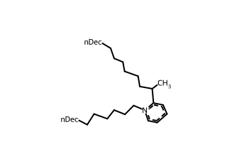 CCCCCCCCCCCCCCCCC(C)c1cccc[n+]1CCCCCCCCCCCCCCCC